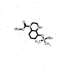 CC(C)(C)OC(=O)N1CCNC2C(O[Si](C)(C)C(C)(C)C)CCCC21